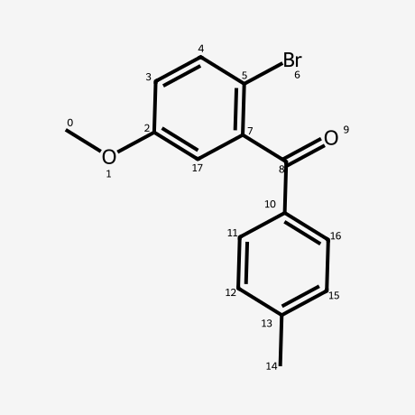 COc1ccc(Br)c(C(=O)c2ccc(C)cc2)c1